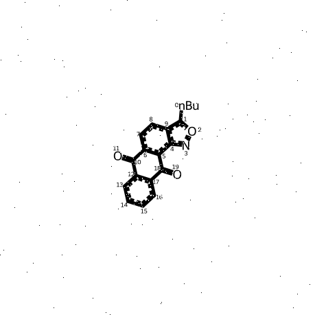 CCCCc1onc2c3c(ccc12)C(=O)c1ccccc1C3=O